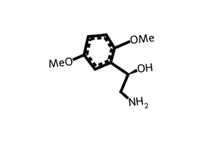 COc1ccc(OC)c([C@@H](O)CN)c1